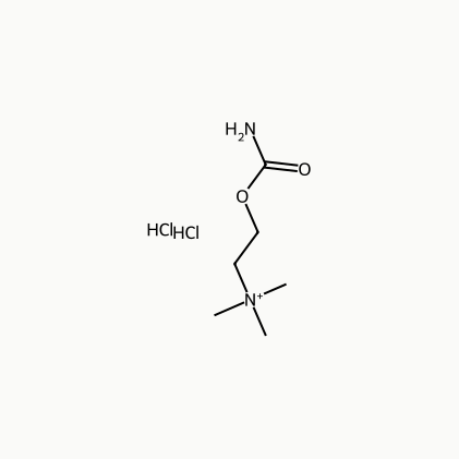 C[N+](C)(C)CCOC(N)=O.Cl.Cl